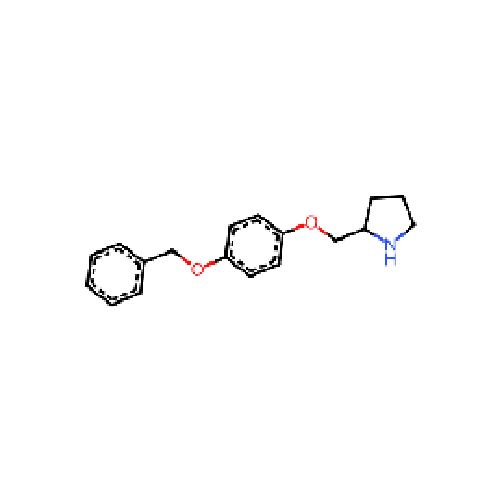 c1ccc(COc2ccc(OCC3CCCN3)cc2)cc1